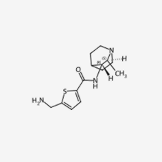 C[C@H]1[C@H](NC(=O)c2ccc(CN)s2)C2CCN1CC2